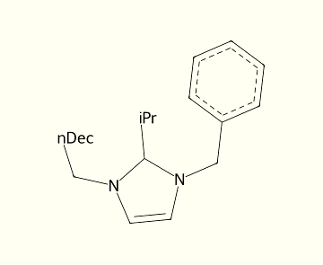 CCCCCCCCCCCN1C=CN(Cc2ccccc2)C1C(C)C